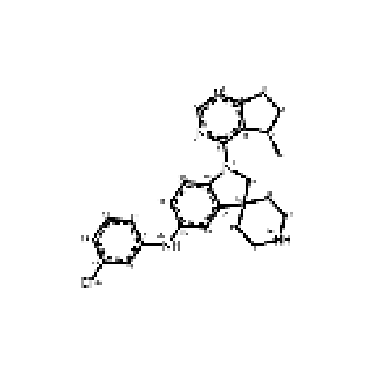 C[C@@H]1CCc2ncnc(N3CC4(CCNCC4)c4cc(Nc5cccc(Cl)c5)ccc43)c21